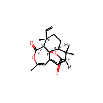 C=C[C@]1(C)CC[C@H]2C(C)(C)[C@@H]3C=C4C=C(C)OC(=O)[C@@H]1[C@@]42OC3=O